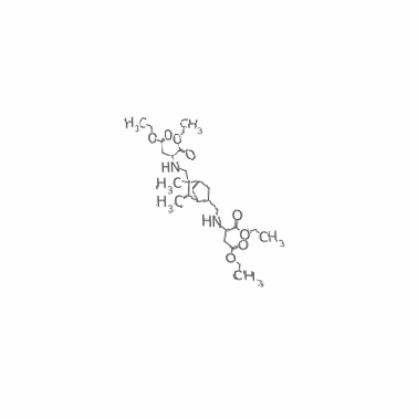 CCOC(=O)CC(NCC1CC2CC1C(C)C2(C)CNC(CC(=O)OCC)C(=O)OCC)C(=O)OCC